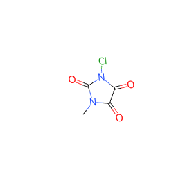 CN1C(=O)C(=O)N(Cl)C1=O